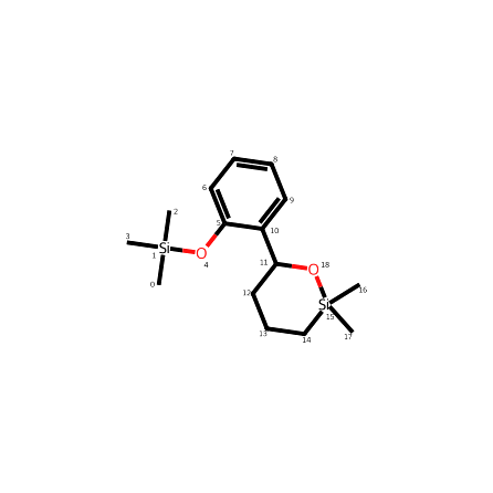 C[Si](C)(C)Oc1ccccc1C1CCC[Si](C)(C)O1